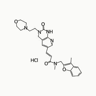 Cc1c(CN(C)C(=O)/C=C/c2cnc3c(c2)CN(CCN2CCOCC2)C(=O)N3)oc2ccccc12.Cl